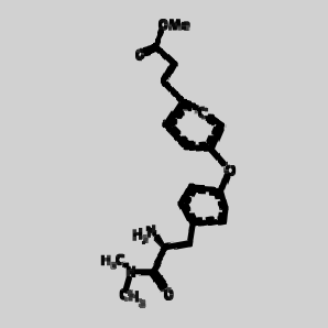 COC(=O)CCc1ccc(Oc2ccc(C[C@H](N)C(=O)N(C)C)cc2)cc1